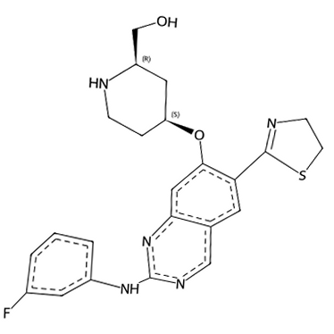 OC[C@H]1C[C@@H](Oc2cc3nc(Nc4cccc(F)c4)ncc3cc2C2=NCCS2)CCN1